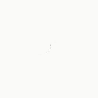 CC[C@H](O)C=O